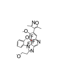 COCCc1nc2cnc3cc(-c4c(C)noc4C)c(OC)cc3c2n1-c1ccccc1OC(F)(F)F